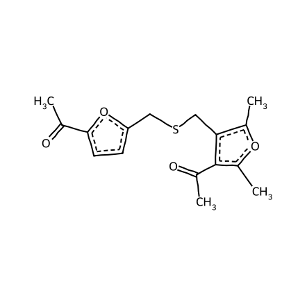 CC(=O)c1ccc(CSCc2c(C)oc(C)c2C(C)=O)o1